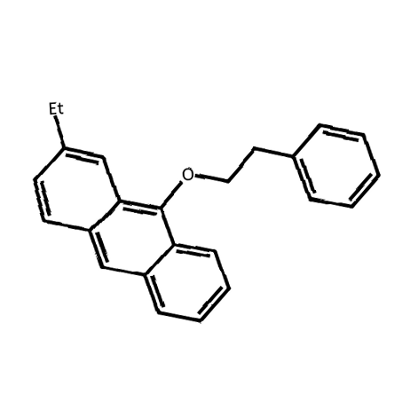 CCc1ccc2cc3ccccc3c(OCCc3ccccc3)c2c1